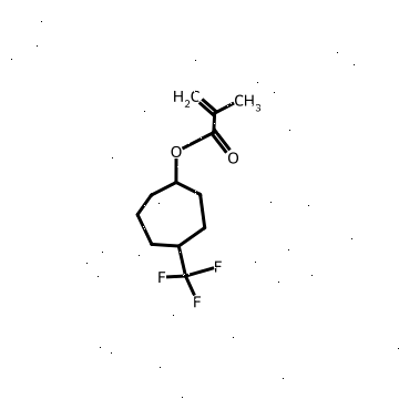 C=C(C)C(=O)OC1CCCC(C(F)(F)F)CC1